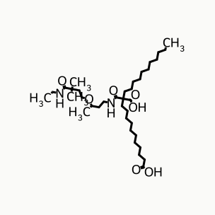 CCCCCCCCCCCC(CCCCCCCCCCC(=O)O)(C(=O)O)C(=O)NCCC(C)OCCC(C)(C)C(=O)NCC